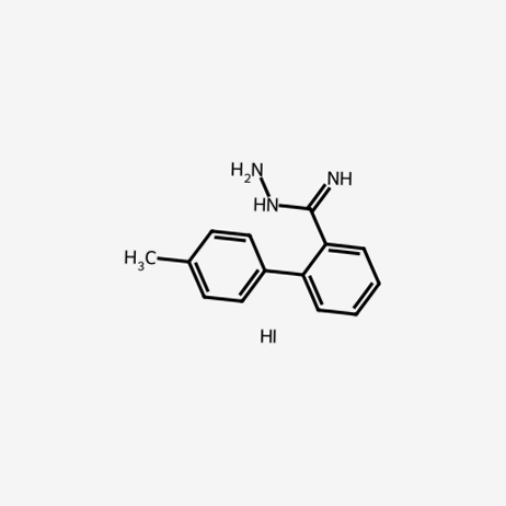 Cc1ccc(-c2ccccc2C(=N)NN)cc1.I